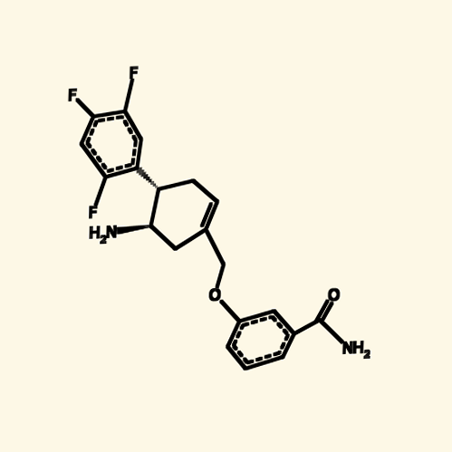 NC(=O)c1cccc(OCC2=CC[C@@H](c3cc(F)c(F)cc3F)[C@H](N)C2)c1